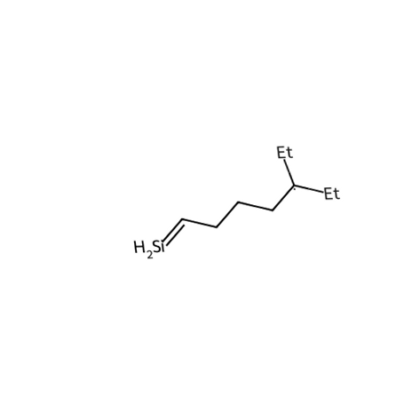 CC[C](CC)CCCC=[SiH2]